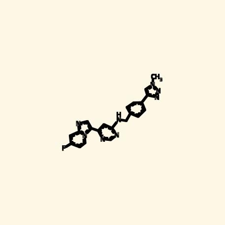 Cn1cc(-c2ccc(CNc3cc(-c4cnc5cc(F)ccn45)ncn3)cc2)nn1